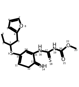 CCC(Cc1ccco1)SC1=CCC(=N)C(NC(=S)NC(=O)OC)=C1